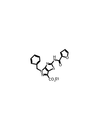 CCOC(=O)c1nn(Cc2ccccc2)c2nc(NC(=O)c3ccco3)sc12